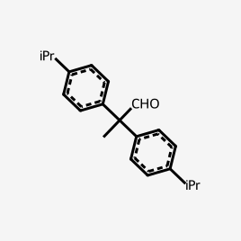 CC(C)c1ccc(C(C)(C=O)c2ccc(C(C)C)cc2)cc1